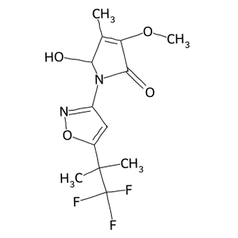 COC1=C(C)C(O)N(c2cc(C(C)(C)C(F)(F)F)on2)C1=O